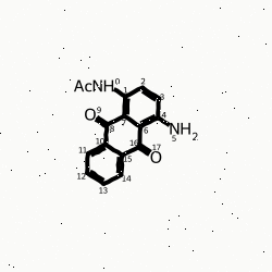 CC(=O)Nc1ccc(N)c2c1C(=O)c1ccccc1C2=O